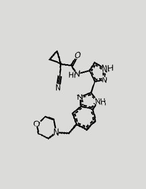 N#CC1(C(=O)Nc2c[nH]nc2-c2nc3cc(CN4CCOCC4)ccc3[nH]2)CC1